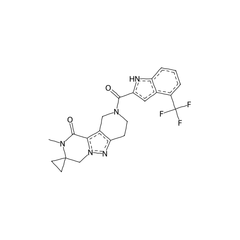 CN1C(=O)c2c3c(nn2CC12CC2)CCN(C(=O)c1cc2c(C(F)(F)F)cccc2[nH]1)C3